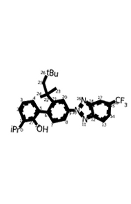 CC(C)c1cccc(-c2ccc(-n3nc4ccc(C(F)(F)F)cc4n3)cc2C(C)(C)CC(C)(C)C)c1O